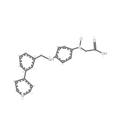 O=C(O)C[S+]([O-])c1ccc(NCc2cccc(-c3ccncc3)c2)cc1